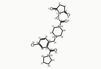 O=C(ON1C(=O)CCC1=O)N1CCN(Cc2ccc(Cl)cc2C(=O)N2CCCC2)CC1